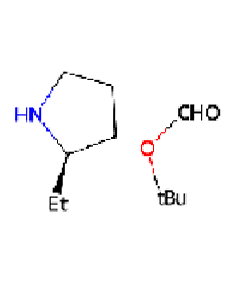 CC(C)(C)OC=O.CC[C@@H]1CCCN1